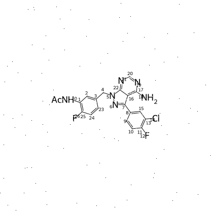 CC(=O)Nc1cc(Cn2nc(-c3ccc(F)c(Cl)c3)c3c(N)ncnc32)ccc1F